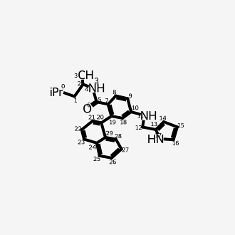 CC(C)CC(C)NC(=O)c1ccc(NCc2ccc[nH]2)cc1-c1cccc2ccccc12